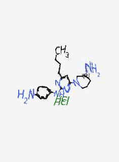 CCCCc1cc(N2CCC[C@@H](N)C2)nc(Nc2ccc(N)cc2)n1.Cl.Cl